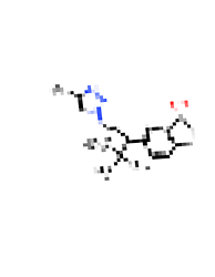 CCCc1cn(CCC(c2ccc3c(c2)C(O)CC3)C(C)(C)C(=O)O)nn1